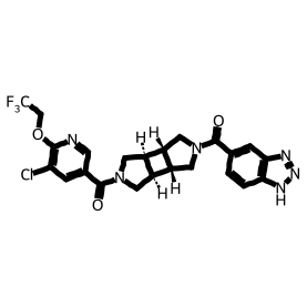 O=C(c1cnc(OCC(F)(F)F)c(Cl)c1)N1C[C@@H]2[C@H](C1)[C@H]1CN(C(=O)c3ccc4[nH]nnc4c3)C[C@@H]21